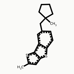 Cc1cc2sc3ccc(CC4(C)CCCC4)cc3c2s1